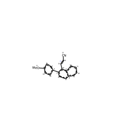 COc1ccc(-c2ccc3ccccc3c2/C=C/C#N)cc1